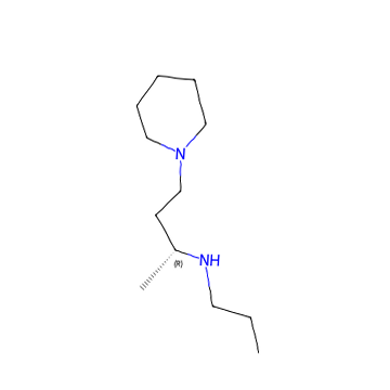 CCCN[C@H](C)CCN1CCCCC1